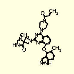 C=CC(=O)N1CCN(c2nc(N3CC4(C3)C(=O)NCN4C)nc3c(Oc4c(C)ccc5[nH]ncc45)cccc23)CC1